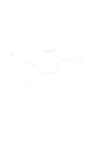 CCOc1ccc(C(=O)O)cc1S(C)(=O)=O